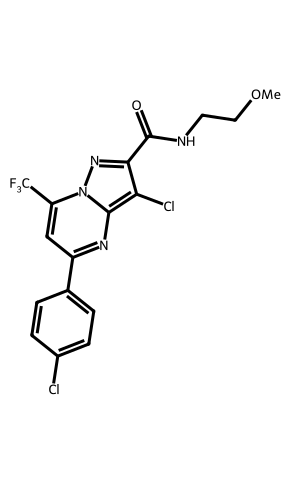 COCCNC(=O)c1nn2c(C(F)(F)F)cc(-c3ccc(Cl)cc3)nc2c1Cl